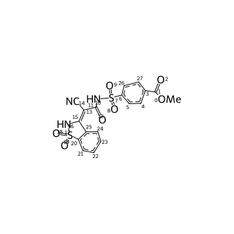 COC(=O)c1ccc(S(=O)(=O)NC(=O)C(C#N)=C2NS(=O)(=O)c3ccccc32)cc1